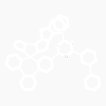 c1ccc(-c2cccc(-c3nc(-c4ccccc4)nc(-c4ccc5c(c4)C4(c6ccccc6-c6ccccc6-5)c5ccccc5-c5c4ccc4c5sc5ccccc54)n3)c2)cc1